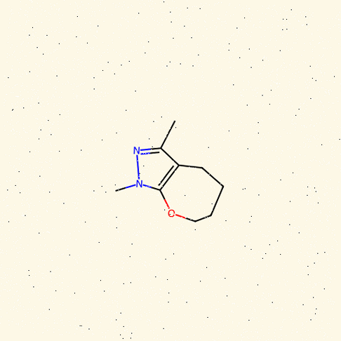 Cc1nn(C)c2c1CCCCO2